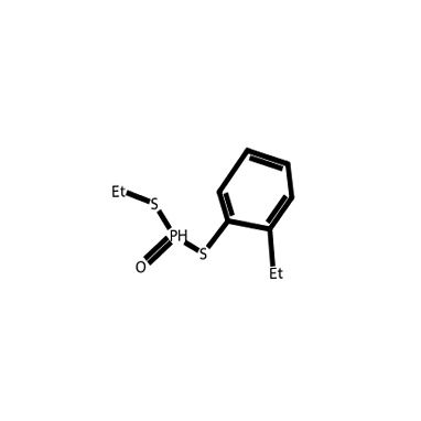 CCS[PH](=O)Sc1ccccc1CC